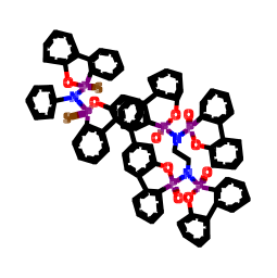 O=P1(N(CCN(P2(=O)Oc3ccccc3-c3ccccc32)P2(=O)Oc3cc(-c4cccc5c4-c4ccccc4P(=S)(N(c4ccccc4)P4(=S)Oc6ccccc6-c6ccccc64)O5)ccc3-c3ccccc32)P2(=O)Oc3ccccc3-c3ccccc32)Oc2ccccc2-c2ccccc21